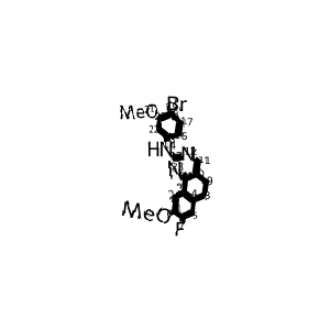 COc1cc2c(cc1F)CCc1cnc(Nc3ccc(Br)c(OC)c3)nc1-2